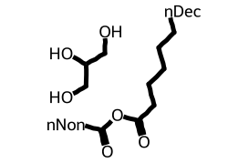 CCCCCCCCCCCCCCCC(=O)OC(=O)CCCCCCCCC.OCC(O)CO